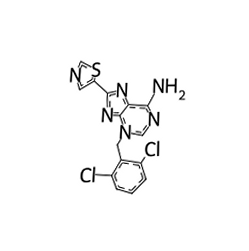 Nc1ncn(Cc2c(Cl)cccc2Cl)c2nc(-c3cncs3)nc1-2